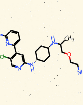 CC(COCCN)N[C@H]1CC[C@H](Nc2cc(-c3cccc(N)n3)c(Cl)cn2)CC1